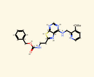 COc1cccnc1CNc1ncnc2sc(CCNC(=O)OCc3ccccc3)nc12